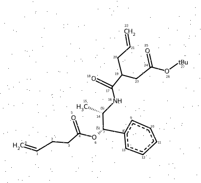 C=CCCC(=O)O[C@@H](c1ccccc1)[C@H](C)NC(=O)C(CC=C)CC(=O)OC(C)(C)C